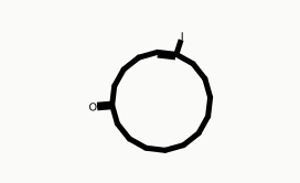 O=C1CCCC=C(I)CCCCCCCCCC1